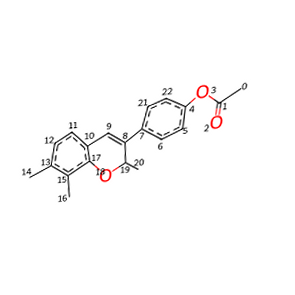 CC(=O)Oc1ccc(C2=Cc3ccc(C)c(C)c3OC2C)cc1